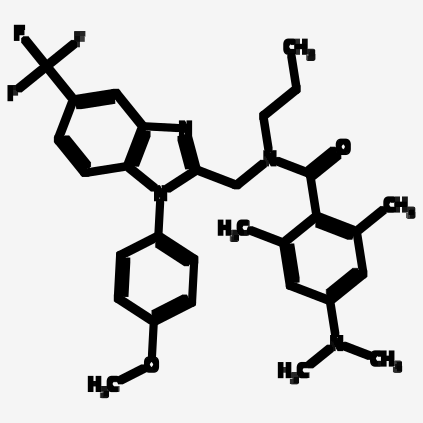 CCCN(Cc1nc2cc(C(F)(F)F)ccc2n1-c1ccc(OC)cc1)C(=O)c1c(C)cc(N(C)C)cc1C